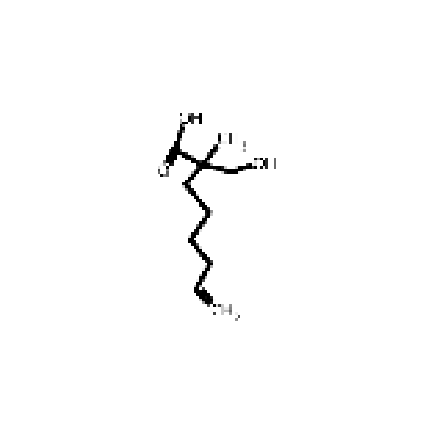 C=CCCCCC(C)(CO)C(=O)O